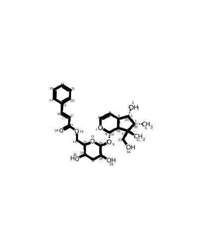 C[C@H]1[C@@H](O)C2C=CO[C@@H](OC3OC(COC(=O)/C=C/c4ccccc4)C(O)CC3O)C2C1(C)CO